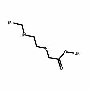 CC(C)(C)CNCCNCC(=O)OC(C)(C)C